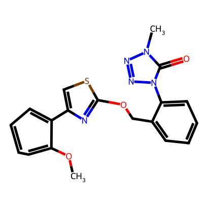 COc1ccccc1-c1csc(OCc2ccccc2-n2nnn(C)c2=O)n1